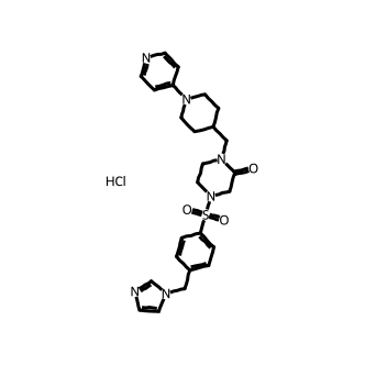 Cl.O=C1CN(S(=O)(=O)c2ccc(Cn3ccnc3)cc2)CCN1CC1CCN(c2ccncc2)CC1